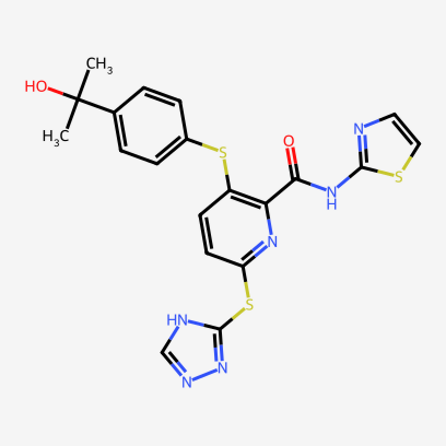 CC(C)(O)c1ccc(Sc2ccc(Sc3nnc[nH]3)nc2C(=O)Nc2nccs2)cc1